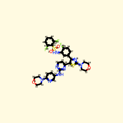 O=S(=O)(Nc1cc(-c2nc(N3CCOCC3)sc2-c2ccnc(Nc3ccc(N4CCOCC4)nc3)n2)ccc1F)c1c(F)cccc1F